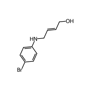 OCC=CCNc1ccc(Br)cc1